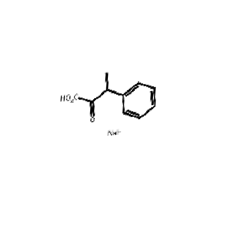 CC(C(=O)C(=O)O)c1ccccc1.[NaH]